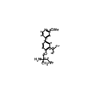 COc1cc(-c2ccc(OC[C@@](C)(N)CC(C)C)c(C(F)F)c2)ccn1